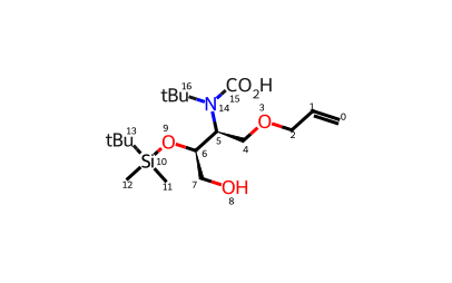 C=CCOC[C@@H]([C@@H](CO)O[Si](C)(C)C(C)(C)C)N(C(=O)O)C(C)(C)C